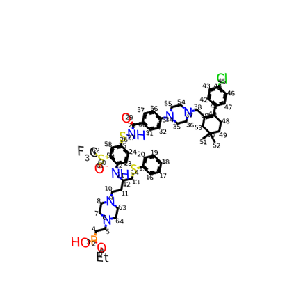 CCOP(O)CCN1CCN(CCC(CSc2ccccc2)Nc2ccc(SNC(=O)c3ccc(N4CCN(CC5=C(c6ccc(Cl)cc6)CCC(C)(C)C5)CC4)cc3)cc2[S+]([O-])C(F)(F)F)CC1